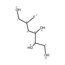 OCC(F)CC(O)C(O)CO